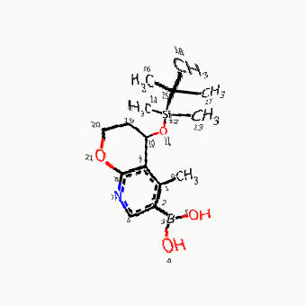 Cc1c(B(O)O)cnc2c1C(O[Si](C)(C)C(C)(C)C)CCO2